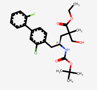 CCOC(=O)C(C)(CO)C[C@H](Cc1ccc(-c2ccccc2F)cc1Cl)NC(=O)OC(C)(C)C